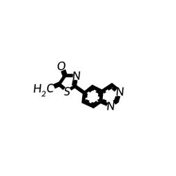 C=C1SC(c2ccc3ncncc3c2)=NC1=O